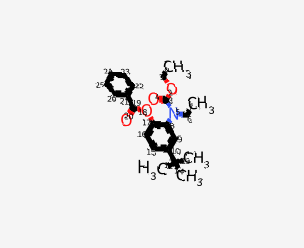 CCOC(=O)N(CC)c1cc(C(C)(C)C)ccc1OC(=O)c1ccccc1